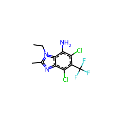 CCn1c(C)nc2c(Cl)c(C(F)(F)F)c(Cl)c(N)c21